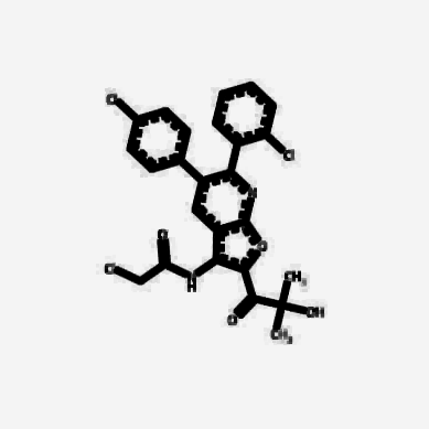 CC(C)(O)C(=O)c1oc2nc(-c3ccccc3Cl)c(-c3ccc(Cl)cc3)cc2c1NC(=O)CCl